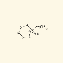 CCP1(=O)CCOCC1